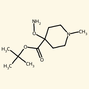 CN1CCC(ON)(C(=O)OC(C)(C)C)CC1